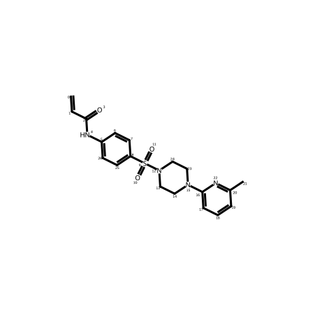 C=CC(=O)Nc1ccc(S(=O)(=O)N2CCN(c3cccc(C)n3)CC2)cc1